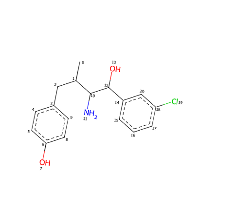 CC(Cc1ccc(O)cc1)C(N)C(O)c1cccc(Cl)c1